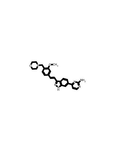 COc1cc(/C=C/c2n[nH]c3cc(-c4ccnc(N)n4)ccc23)ccc1CN1CCOCC1